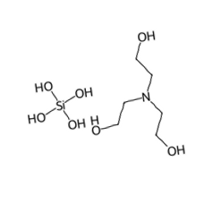 OCCN(CCO)CCO.O[Si](O)(O)O